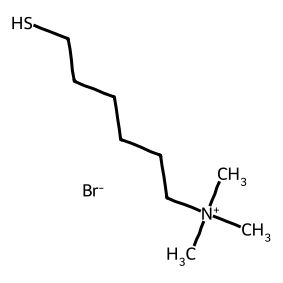 C[N+](C)(C)CCCCCCS.[Br-]